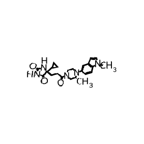 C[C@H]1CN(C(=O)CCC2(C3CC3)NC(=O)NC2=O)CCN1c1ccc2c(ccn2C)c1